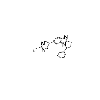 c1ccc(C2CCc3nc4ccc(-c5cnc(C6CC6)nc5)cc4n32)cc1